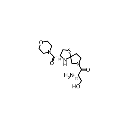 N[C@@H](CO)C(=O)N1CCC2(C1)N[C@H](C(=O)N1CCOCC1)CS2